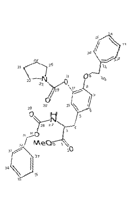 COC(=O)C(Cc1ccc(OCc2ccccc2)c(OC(=O)N2CCCC2)c1)NC(=O)OCc1ccccc1